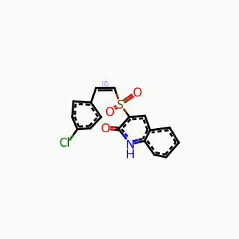 O=c1[nH]c2ccccc2cc1S(=O)(=O)/C=C\c1ccc(Cl)cc1